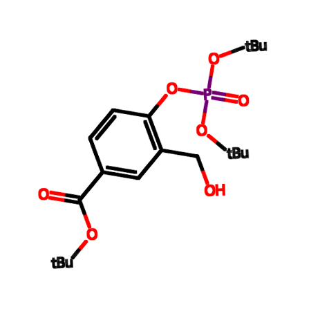 CC(C)(C)OC(=O)c1ccc(OP(=O)(OC(C)(C)C)OC(C)(C)C)c(CO)c1